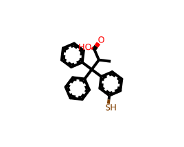 CC(C(=O)O)C(c1ccccc1)(c1ccccc1)c1cccc(S)c1